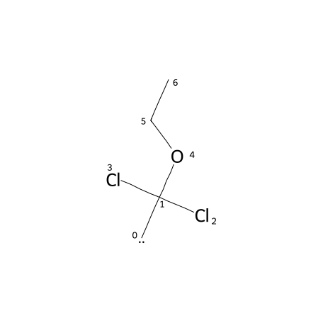 [CH]C(Cl)(Cl)OCC